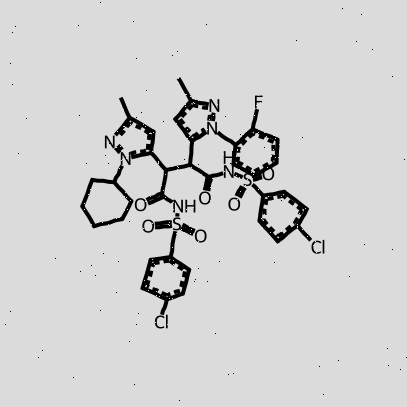 Cc1cc(C(C(=O)NS(=O)(=O)c2ccc(Cl)cc2)C(C(=O)NS(=O)(=O)c2ccc(Cl)cc2)c2cc(C)nn2C2CCCCC2)n(-c2ccccc2F)n1